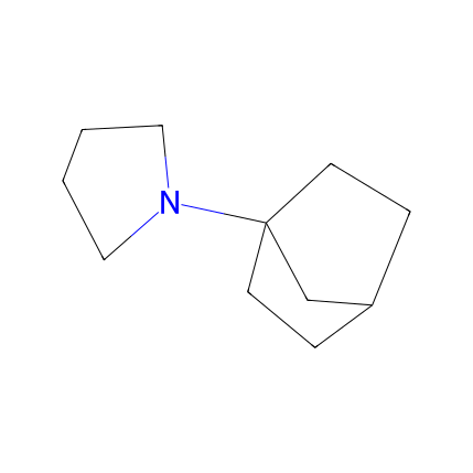 C1CCN(C23CCC(CC2)C3)C1